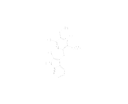 COc1c(Cc2c(Cl)[nH]c3ccccc23)nc(Cl)c(CC(C)C)[n+]1[O-]